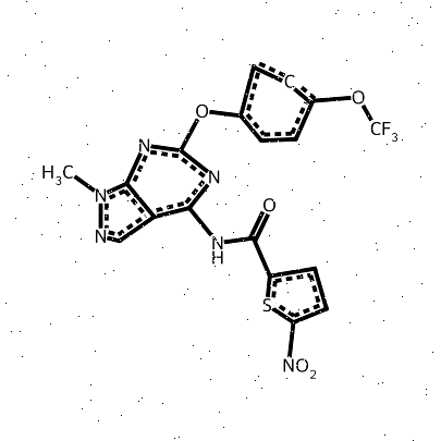 Cn1ncc2c(NC(=O)c3ccc([N+](=O)[O-])s3)nc(Oc3ccc(OC(F)(F)F)cc3)nc21